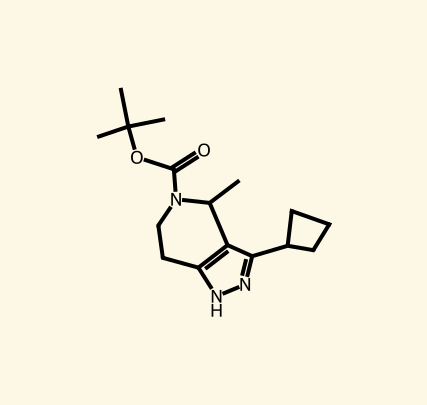 CC1c2c(C3CCC3)n[nH]c2CCN1C(=O)OC(C)(C)C